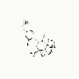 COc1ccc(C2CC(C)(C)C(OC)C(C)(C)C2I)c(I)c1